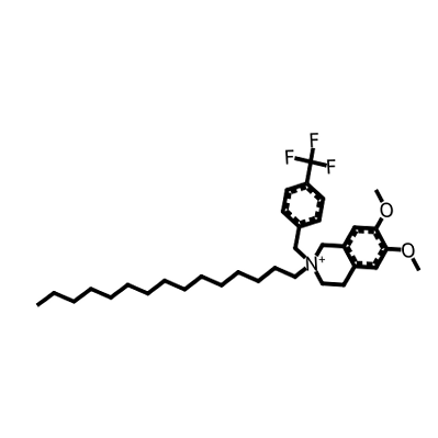 CCCCCCCCCCCCCCC[N+]1(Cc2ccc(C(F)(F)F)cc2)CCc2cc(OC)c(OC)cc2C1